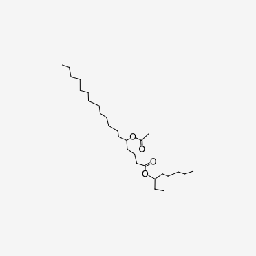 CCCCCCCCCCCCCC(CCCC(=O)OC(CC)CCCCC)OC(C)=O